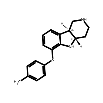 Cc1ccc(Sc2cccc3c2N[C@H]2CCNC[C@H]32)cc1